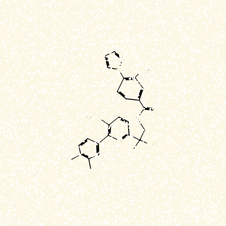 COc1cc(C(=O)NCC(C)(O)c2ccc(OC)c(-c3ccc(F)c(Cl)c3)n2)ccc1-n1cccn1